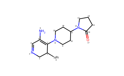 CCCC1CN=CC(N)=C1N1CCC(N2CCCC2=O)CC1